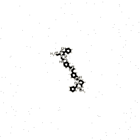 CCCN(CC(=O)Nc1ccc(-c2ncc(-c3ccc4nc([C@@H]5CCC(CNC)N5C(=O)Cc5ccccc5)[nH]c4c3)o2)cc1F)C(=O)C(c1ccccc1)N(C)C